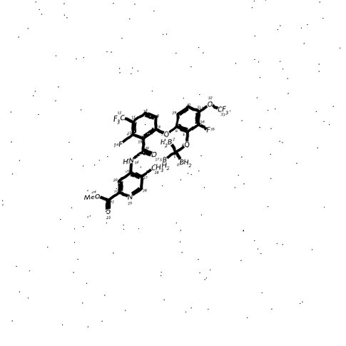 BC(B)(B)Oc1c(Oc2ccc(C(F)(F)F)c(F)c2C(=O)Nc2cc(C(=O)OC)ncc2C)ccc(OC(F)(F)F)c1F